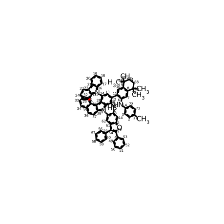 Cc1ccc(Nc2cc3c(cc2-c2cc(-n4c5ccccc5c5ccccc54)c4c5c6ccccc6ccc5n5c4c2Bc2cc4oc(-c6ccccc6)c(-c6ccccc6)c4cc2-5)C(C)(C)CCC3(C)C)cc1